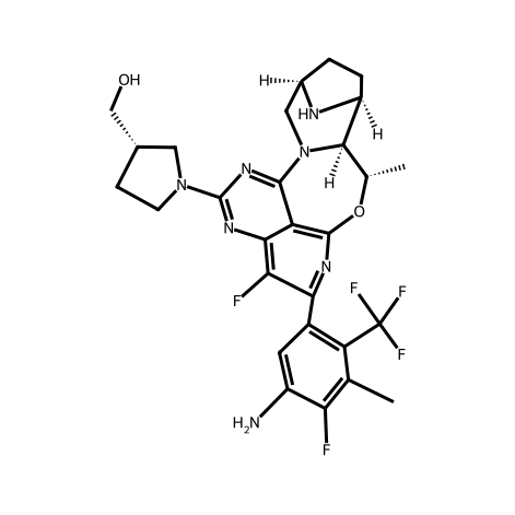 Cc1c(F)c(N)cc(-c2nc3c4c(nc(N5CC[C@H](CO)C5)nc4c2F)N2C[C@H]4CC[C@H](N4)[C@H]2[C@H](C)O3)c1C(F)(F)F